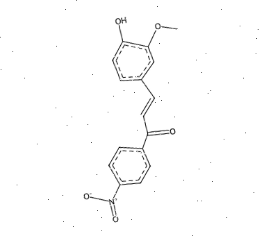 COc1cc(C=CC(=O)c2ccc([N+](=O)[O-])cc2)ccc1O